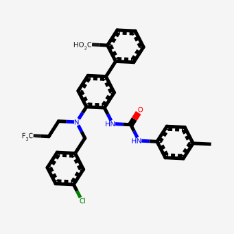 Cc1ccc(NC(=O)Nc2cc(-c3ccccc3C(=O)O)ccc2N(CCC(F)(F)F)Cc2cccc(Cl)c2)cc1